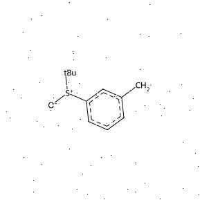 [CH2]c1cccc([S+]([O-])C(C)(C)C)c1